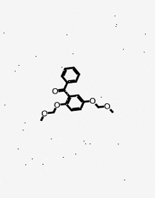 COCOc1ccc(OCOC)c(C(=O)c2ccccc2)c1